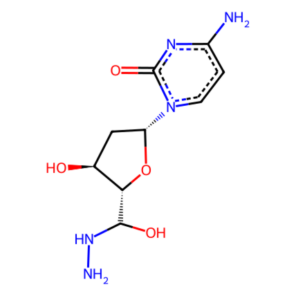 NNC(O)[C@H]1O[C@@H](n2ccc(N)nc2=O)C[C@@H]1O